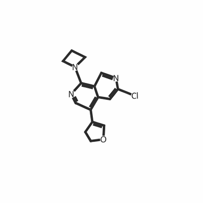 Clc1cc2c(C3=COCC3)cnc(N3CCC3)c2cn1